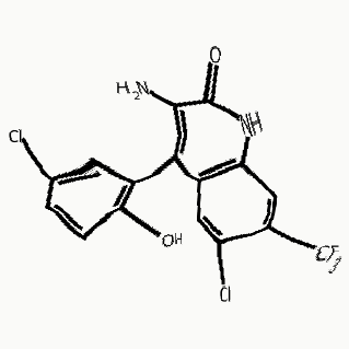 Nc1c(-c2cc(Cl)ccc2O)c2cc(Cl)c(C(F)(F)F)cc2[nH]c1=O